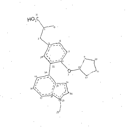 CC(Cc1ccc(OC2CCCC2)c(-c2cccc3c2ccn3C)c1)C(=O)O